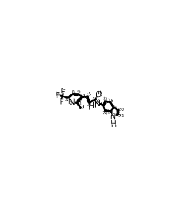 Cc1nc(C(F)(F)F)ccc1C=CC(=O)Nc1ccc2cc[nH]c2c1